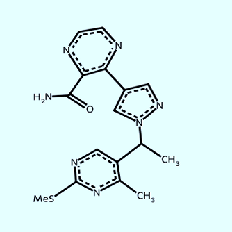 CSc1ncc(C(C)n2cc(-c3nccnc3C(N)=O)cn2)c(C)n1